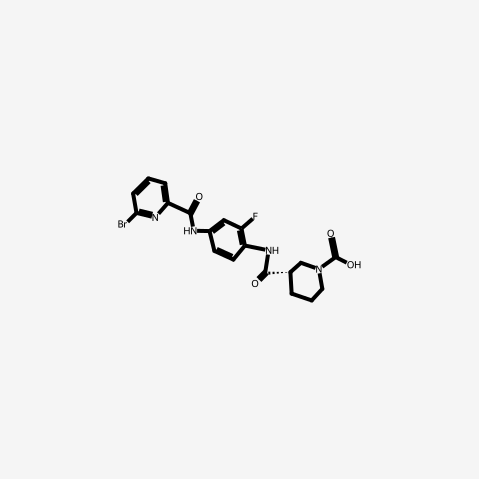 O=C(Nc1ccc(NC(=O)[C@H]2CCCN(C(=O)O)C2)c(F)c1)c1cccc(Br)n1